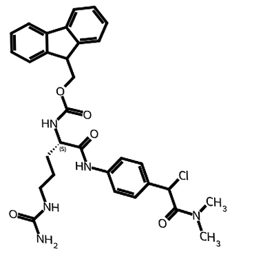 CN(C)C(=O)C(Cl)c1ccc(NC(=O)[C@H](CCCNC(N)=O)NC(=O)OCC2c3ccccc3-c3ccccc32)cc1